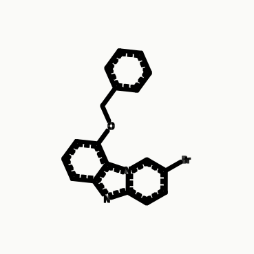 Brc1ccc2nc3cccc(OCc4ccccc4)c3n2c1